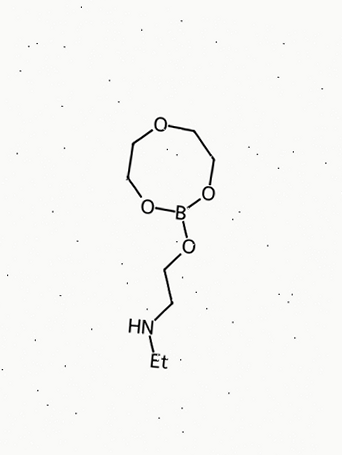 CCNCCOB1OCCOCCO1